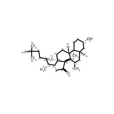 C[C@@H]1C[C@H]2C[C@@H](O)CC[C@]2(C)[C@H]2CC[C@@]3(C)C(=C12)C(=O)C[C@@H]3[C@H](C)CCCC(F)(C(F)(F)F)C(F)(F)F